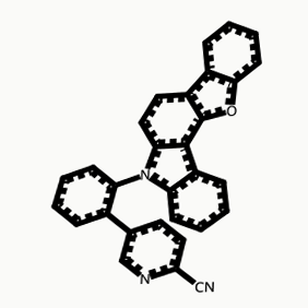 N#Cc1ccc(-c2ccccc2-n2c3ccccc3c3c4oc5ccccc5c4ccc32)cn1